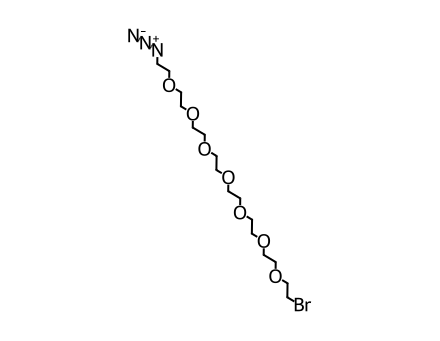 [N-]=[N+]=NCCOCCOCCOCCOCCOCCOCCOCCBr